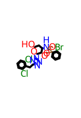 O=C(O)CC(NS(=O)(=O)c1ccccc1Br)C(=O)Cn1nnc(Cc2c(Cl)cccc2Cl)n1